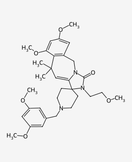 COCCN1C(=O)N2Cc3cc(OC)cc(OC)c3C(C)(C)C=C2C12CCN(Cc1cc(OC)cc(OC)c1)CC2